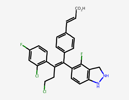 O=C(O)/C=C/c1ccc(/C(=C(/CCCl)c2ccc(F)cc2Cl)c2ccc3c(c2F)CNN3)cc1